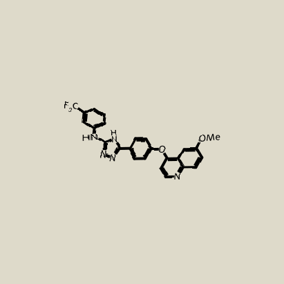 COc1ccc2nccc(Oc3ccc(-c4nnc(Nc5cccc(C(F)(F)F)c5)[nH]4)cc3)c2c1